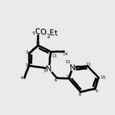 CCOC(=O)c1cc(C)n(Cc2ccccn2)c1C